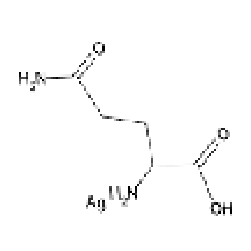 NC(=O)CCC(N)C(=O)O.[Ag]